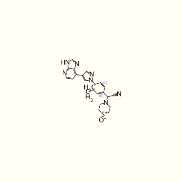 C=C(/C=C\C(=C/CC)C(C#N)N1CC[S+]([O-])CC1)n1cc(-c2ccnc3[nH]cnc23)cn1